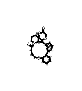 O=C1COCC2(CCCN3C(=O)CCCOc4ccccc4-c4cccc(c4F)CC32)N1